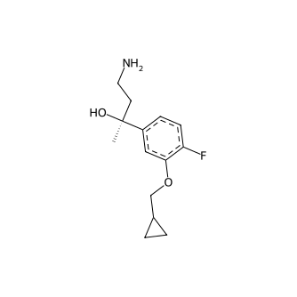 C[C@](O)(CCN)c1ccc(F)c(OCC2CC2)c1